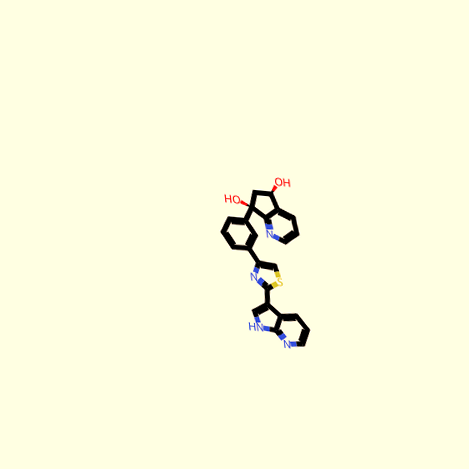 O[C@@H]1C[C@@](O)(c2cccc(-c3csc(-c4c[nH]c5ncccc45)n3)c2)c2ncccc21